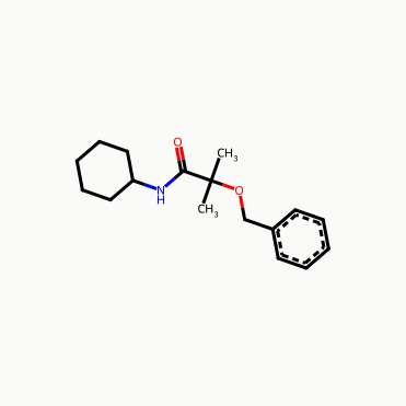 CC(C)(OCc1ccccc1)C(=O)NC1CCCCC1